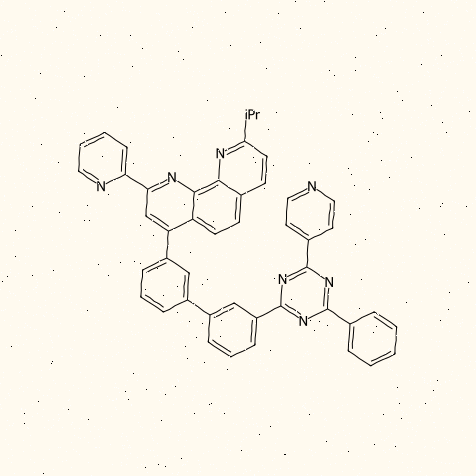 CC(C)c1ccc2ccc3c(-c4cccc(-c5cccc(-c6nc(-c7ccccc7)nc(-c7ccncc7)n6)c5)c4)cc(-c4ccccn4)nc3c2n1